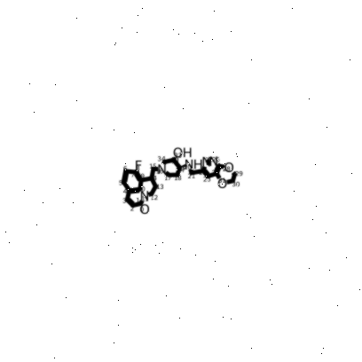 O=c1ccc2ccc(F)c3c2n1CCC3CN1CC[C@H](NCc2cc3c(nn2)OCCO3)[C@H](O)C1